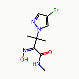 CNC(=O)C(=NO)C(C)(C)n1cc(Br)cn1